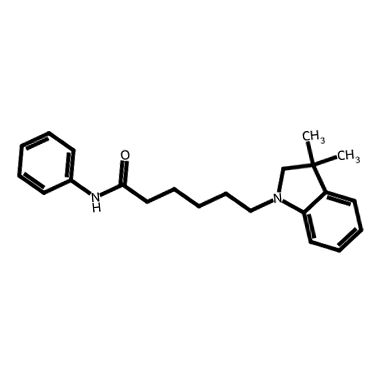 CC1(C)CN(CCCCCC(=O)Nc2ccccc2)c2ccccc21